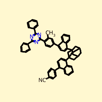 Cc1cc(-c2ccc(C34CC5CC(CC(c6ccc(-c7ccc(C#N)cc7)c7ccccc67)(C5)C3)C4)c3ccccc23)ccc1-c1nc(-c2ccccc2)nc(-c2ccccc2)n1